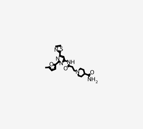 Cc1ccc(-c2nc(NC(=O)CCN3CCC(C(N)=O)CC3)cc(-c3nccs3)n2)o1